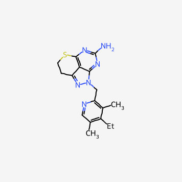 CCc1c(C)cnc(Cn2nc3c4c(nc(N)nc42)SCC3)c1C